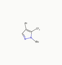 CC(C)c1cnn(C(C)(C)C)c1C(F)(F)F